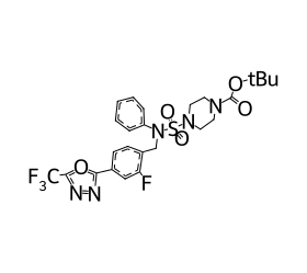 CC(C)(C)OC(=O)N1CCN(S(=O)(=O)N(Cc2ccc(-c3nnc(C(F)(F)F)o3)cc2F)c2ccccc2)CC1